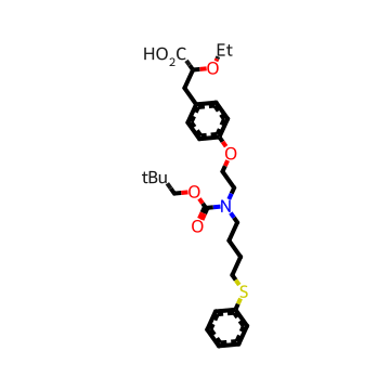 CCOC(Cc1ccc(OCCN(CCCCSc2ccccc2)C(=O)OCC(C)(C)C)cc1)C(=O)O